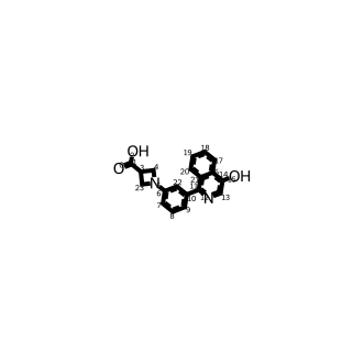 O=C(O)C1CN(c2cccc(-c3ncc(O)c4ccccc34)c2)C1